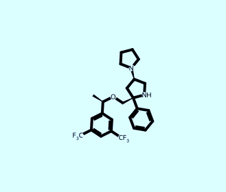 C[C@@H](OC[C@@]1(c2ccccc2)C[C@@H](N2CCCC2)CN1)c1cc(C(F)(F)F)cc(C(F)(F)F)c1